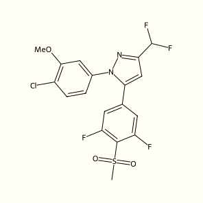 COc1cc(-n2nc(C(F)F)cc2-c2cc(F)c(S(C)(=O)=O)c(F)c2)ccc1Cl